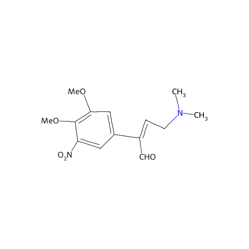 COc1cc(C(C=O)=CCN(C)C)cc([N+](=O)[O-])c1OC